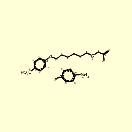 C=C(C)COCCCCCCOc1ccc(C(=O)O)cc1.Cc1ccc(N)cc1